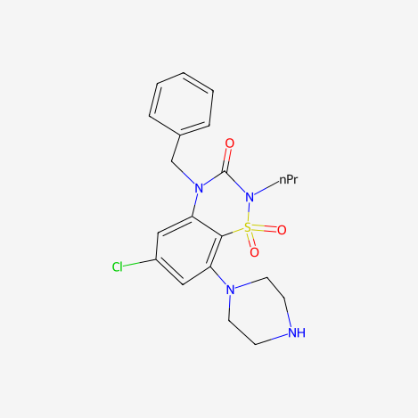 CCCN1C(=O)N(Cc2ccccc2)c2cc(Cl)cc(N3CCNCC3)c2S1(=O)=O